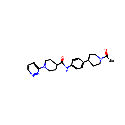 CC(C)(C)C(=O)N1CCC(c2ccc(NC(=O)C3CCN(c4cccnn4)CC3)cc2)CC1